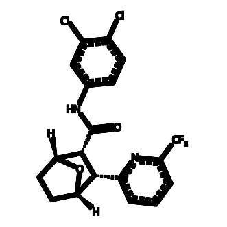 O=C(Nc1ccc(Cl)c(Cl)c1)[C@@H]1[C@H](c2cccc(C(F)(F)F)n2)[C@@H]2CC[C@H]1O2